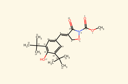 COC(=O)N1OC/C(=C\c2cc(C(C)(C)C)c(O)c(C(C)(C)C)c2)C1=O